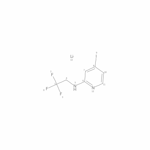 FC(F)(F)CNc1cc(I)ccn1.[Li]